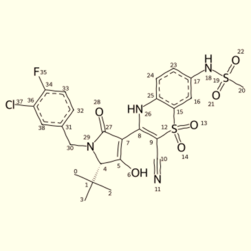 CC(C)(C)[C@H]1C(O)=C(C2=C(C#N)S(=O)(=O)c3cc(NS(C)(=O)=O)ccc3N2)C(=O)N1Cc1ccc(F)c(Cl)c1